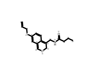 C=CCSc1ccc2c(c1)=COCC=2CNC(=O)CCC